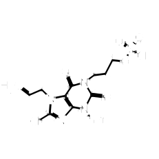 C=CCn1c(Cl)nc2c1c(=O)n(CCCOS(C)(=O)=O)c(=O)n2CCC